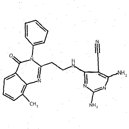 Cc1cccc2c(=O)n(-c3ccccc3)c(CCNc3nc(N)nc(N)c3C#N)nc12